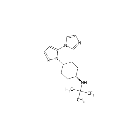 CC(C)(N[C@H]1CC[C@H](n2nccc2-n2ccnc2)CC1)C(F)(F)F